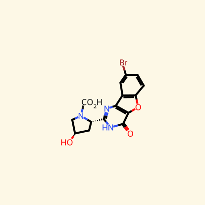 O=C(O)N1C[C@H](O)C[C@H]1c1nc2c(oc3ccc(Br)cc32)c(=O)[nH]1